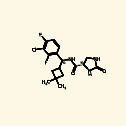 CC1(C)CC([C@H](NC(=O)[C@@H]2CNC(=O)N2)c2ccc(F)c(Cl)c2F)C1